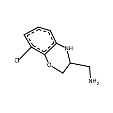 NCC1COc2c(Cl)cccc2N1